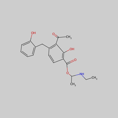 CCNC(C)OC(=O)c1ccc(Cc2ccccc2O)c(C(C)=O)c1O